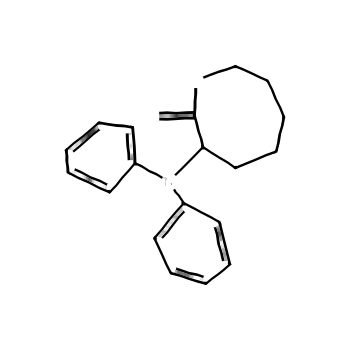 O=C1OCCCCCC1N(c1ccccc1)c1ccccc1